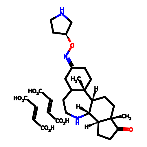 C[C@]12CC/C(=N\O[C@@H]3CCNC3)CC1CCN[C@@H]1[C@@H]2CC[C@]2(C)C(=O)CC[C@@H]12.O=C(O)/C=C/C(=O)O.O=C(O)/C=C/C(=O)O